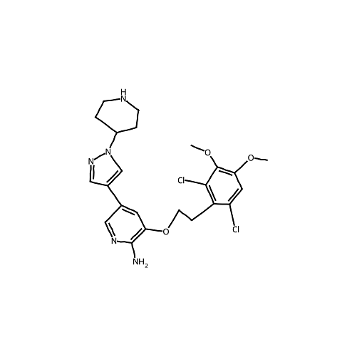 COc1cc(Cl)c(CCOc2cc(-c3cnn(C4CCNCC4)c3)cnc2N)c(Cl)c1OC